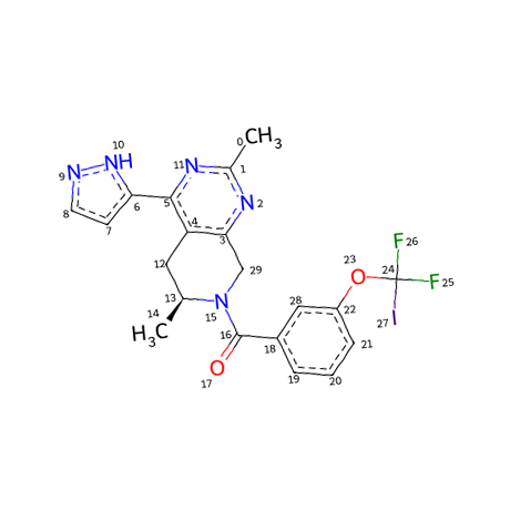 Cc1nc2c(c(-c3ccn[nH]3)n1)C[C@H](C)N(C(=O)c1cccc(OC(F)(F)I)c1)C2